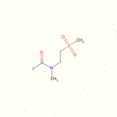 CN(CCS(C)(=O)=O)C(=O)I